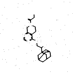 O=C(CC(F)(F)F)N1CCc2c(ncnc2NCC(O)C23CC4CC(CC(C4)C2)C3)C1